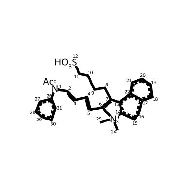 CC(=O)N(C=CC=CC1=C(CCCCS(=O)(=O)O)c2c(ccc3ccccc23)[N+]1(C)C)c1ccccc1